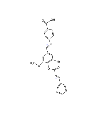 COc1cc(/C=N/c2ccc(C(=O)O)cc2)cc(Br)c1OC(=O)/C=C/c1ccccc1